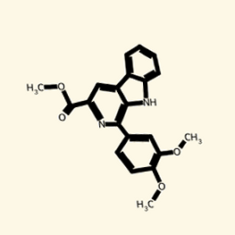 COC(=O)c1cc2c([nH]c3ccccc32)c(-c2ccc(OC)c(OC)c2)n1